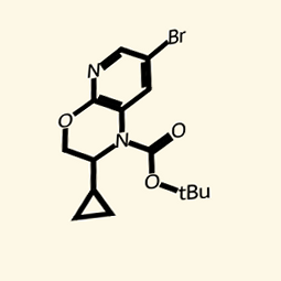 CC(C)(C)OC(=O)N1c2cc(Br)cnc2OCC1C1CC1